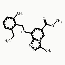 CCc1cccc(C)c1CNc1cc(C(=O)OC)cn2c(C)nnc12